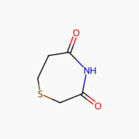 O=C1CCSCC(=O)N1